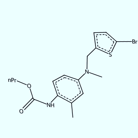 CCCOC(=O)Nc1ccc(N(C)Cc2ccc(Br)s2)cc1C